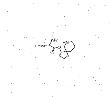 CCCCCCC(CCC)C(=O)OC1NCCC12CCCNC2